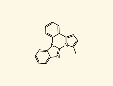 Cc1ccc2c3ccccc3n3c4ccccc4nc3n12